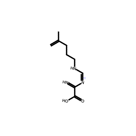 C=C(C)CCCN/C=N\C(=N)C(=O)O